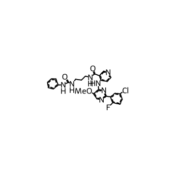 COc1cnc(-c2cc(Cl)ccc2F)nc1Nc1ccncc1C(=O)NCCCNC(=O)Nc1ccccc1